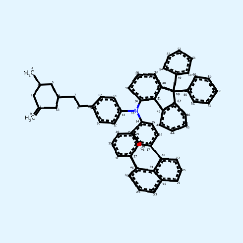 C=C1CC(C)CC(CCc2ccc(N(c3ccc(-c4cccc5cccc(-c6ccccc6)c45)cc3)c3cccc4c3-c3ccccc3C4(c3ccccc3)c3ccccc3)cc2)C1